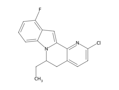 CCC1Cc2ccc(Cl)nc2-c2cc3c(F)cccc3n21